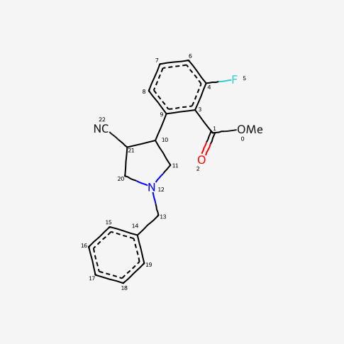 COC(=O)c1c(F)cccc1C1CN(Cc2ccccc2)CC1C#N